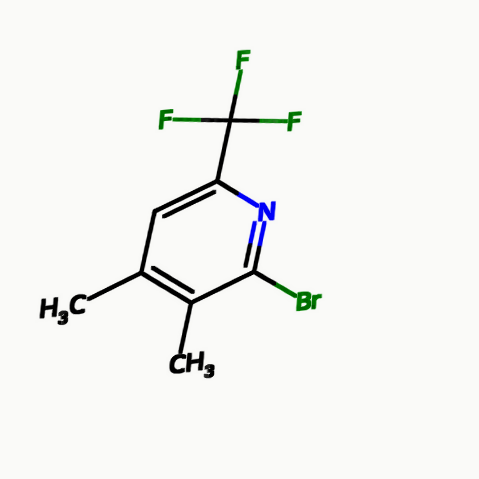 Cc1cc(C(F)(F)F)nc(Br)c1C